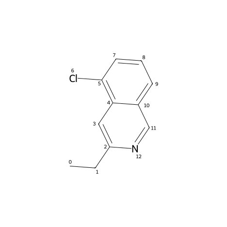 CCc1cc2c(Cl)cccc2cn1